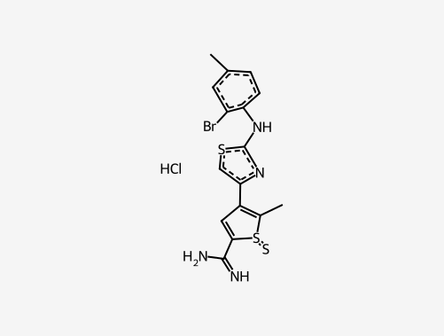 CC1=C(c2csc(Nc3ccc(C)cc3Br)n2)C=C(C(=N)N)S1=S.Cl